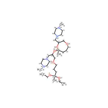 CCO[Si](C)(CCCOCC(CN1CCN(C)CC1)O[Si]1(C)CCCOCC(CN2CCN(C)CC2)O1)OCC